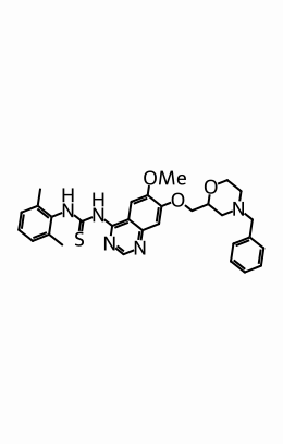 COc1cc2c(NC(=S)Nc3c(C)cccc3C)ncnc2cc1OCC1CN(Cc2ccccc2)CCO1